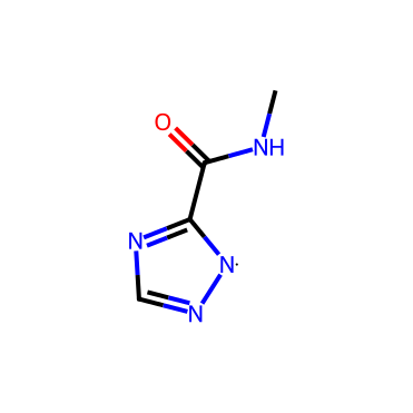 CNC(=O)C1=NC=N[N]1